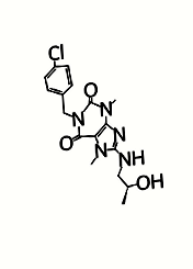 C[C@H](O)CNc1nc2c(c(=O)n(Cc3ccc(Cl)cc3)c(=O)n2C)n1C